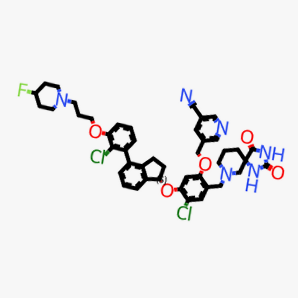 N#Cc1cncc(COc2cc(O[C@H]3CCc4c(-c5cccc(OCCCN6CCC(F)CC6)c5Cl)cccc43)c(Cl)cc2CN2CCCC3(C2)NC(=O)NC3=O)c1